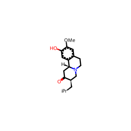 COc1cc2c(cc1O)[C@H]1CC(=O)[C@H](CC(C)C)CN1CC2